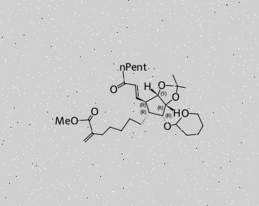 C=C(CCCCC[C@@H]1[C@@H](C=CC(=O)CCCCC)[C@@H]2OC(C)(C)O[C@@H]2[C@@H]1OC1CCCCO1)C(=O)OC